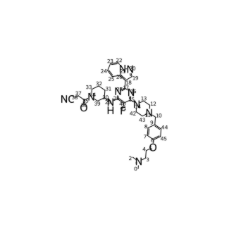 CN(C)CCOc1ccc(CN2CCN(c3nc(-c4cnn5ccccc45)nc(N[C@@H]4CCCN(C(=O)CC#N)C4)c3F)CC2)cc1